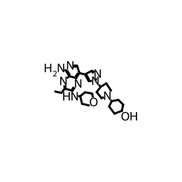 CCc1nc2c(N)ncc(-c3cnn(C4CCN(C5CCC(O)CC5)CC4)c3)c2nc1NC1CCOCC1